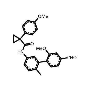 COc1ccc(C2(C(=O)Nc3ccc(C)c(-c4ccc(C=O)cc4OC)c3)CC2)cc1